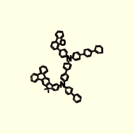 CC1(C)c2ccc(N(c3ccc(-c4ccccc4)cc3)c3ccc(-c4ccc(N(c5ccc(-c6ccc(-c7ccccc7)cc6)cc5)c5ccc(-c6cccc7c6oc6ccccc67)cc5)cc4)cc3)cc2-c2cc3c4ccccc4c4ccccc4c3cc21